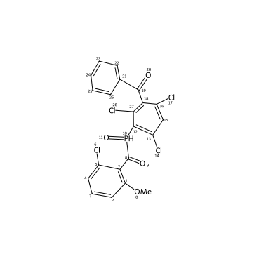 COc1cccc(Cl)c1C(=O)[PH](=O)c1c(Cl)cc(Cl)c(C(=O)c2ccccc2)c1Cl